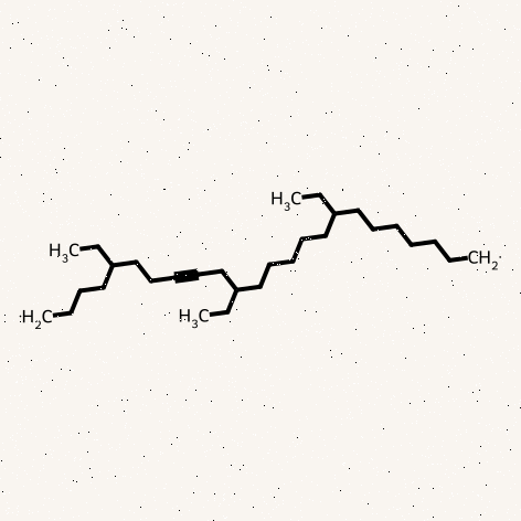 [CH2]CCCCCCC(CC)CCCCCC(CC)CC#CCCC(CC)CCC[CH2]